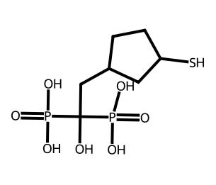 O=P(O)(O)C(O)(CC1CCC(S)C1)P(=O)(O)O